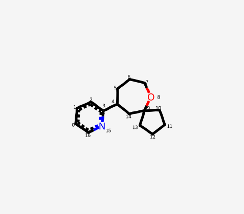 c1ccc(C2CCCOC3(CCCC3)C2)nc1